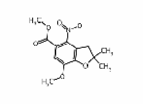 COC(=O)c1cc(OC)c2c(c1[N+](=O)[O-])CC(C)(C)O2